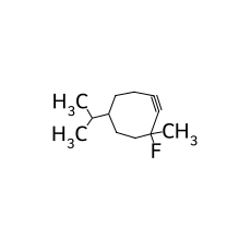 CC(C)C1CCC#CC(C)(F)CC1